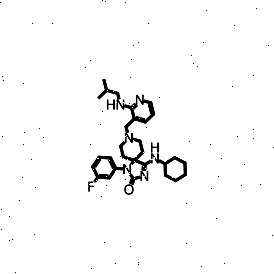 CC(C)CNc1ncccc1CN1CCC2(CC1)C(NC1CCCCC1)=NC(=O)N2c1cccc(F)c1